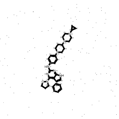 c1ccc([C@@H]2CCON2c2nc(Nc3ccc(N4CCC(N5CCN(C6CC6)CC5)CC4)cc3)nc3[nH]ccc23)cc1